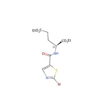 CCOC(=O)CC[C@H](NC(=O)c1cnc(Br)s1)C(=O)OCC